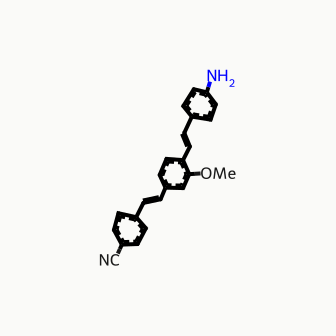 COc1cc(C=Cc2ccc(C#N)cc2)ccc1C=Cc1ccc(N)cc1